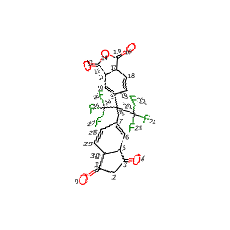 O=C1CC(=O)C2C=C(C(C3=CC4C(=O)OC(=O)C4C=C3)(C(F)(F)F)C(F)(F)F)C=CC12